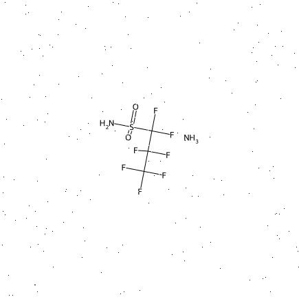 N.NS(=O)(=O)C(F)(F)C(F)(F)C(F)(F)F